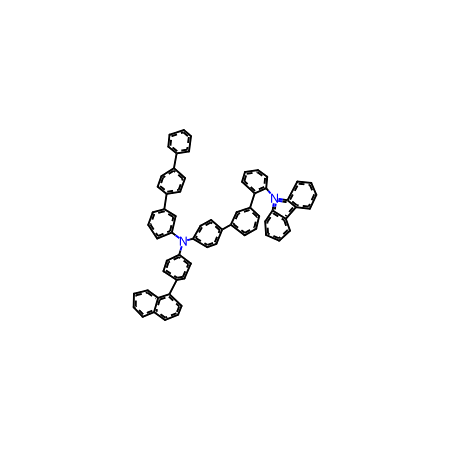 c1ccc(-c2ccc(-c3cccc(N(c4ccc(-c5cccc(-c6ccccc6-n6c7ccccc7c7ccccc76)c5)cc4)c4ccc(-c5cccc6ccccc56)cc4)c3)cc2)cc1